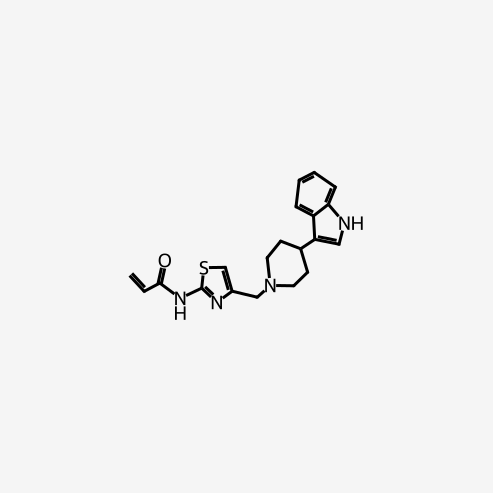 C=CC(=O)Nc1nc(CN2CCC(c3c[nH]c4ccccc34)CC2)cs1